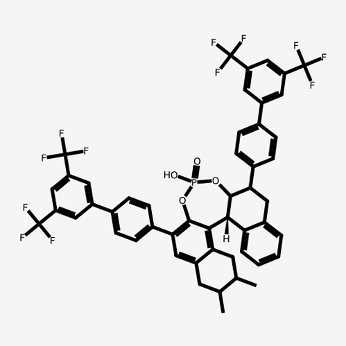 CC1Cc2cc(-c3ccc(-c4cc(C(F)(F)F)cc(C(F)(F)F)c4)cc3)c3c(c2CC1C)[C@H]1c2ccccc2CC(c2ccc(-c4cc(C(F)(F)F)cc(C(F)(F)F)c4)cc2)C1OP(=O)(O)O3